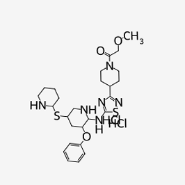 COCC(=O)N1CCC(c2nsc(NC3NCC(SC4CCCCN4)CC3Oc3ccccc3)n2)CC1.Cl.Cl